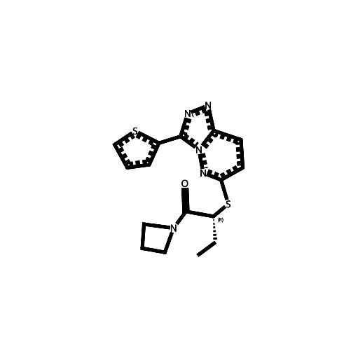 CC[C@@H](Sc1ccc2nnc(-c3cccs3)n2n1)C(=O)N1CCC1